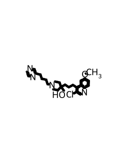 COc1ccc2ncc(Cl)c(CCCC3(CO)CCN(CCCCc4cnccn4)CC3)c2c1